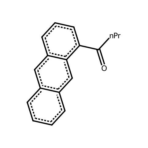 CCCC(=O)c1cccc2cc3ccccc3cc12